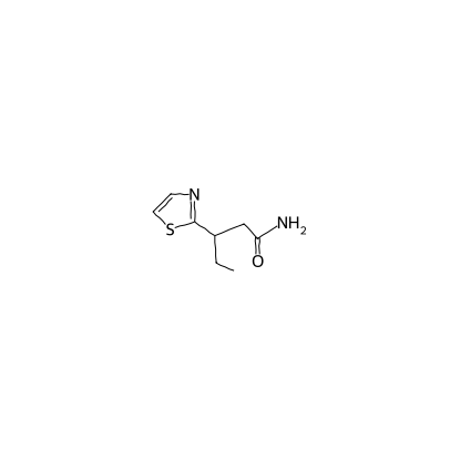 CCC(CC(N)=O)c1nccs1